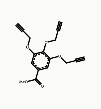 C#CCOc1cc(C(=O)OC)cc(OCC#C)c1OCC#C